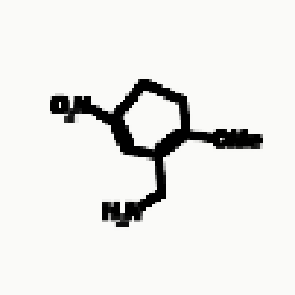 COC1=C(CN)C=C([N+](=O)[O-])CC1